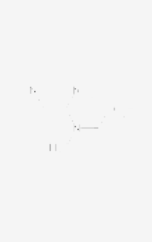 CN(CC(=O)O)C(N)CN